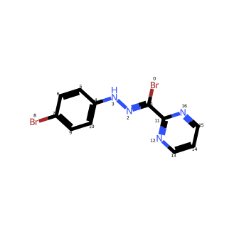 BrC(=NNc1ccc(Br)cc1)c1ncccn1